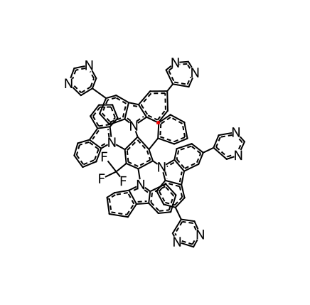 FC(F)(F)c1c(-n2c3ccccc3c3ccccc32)c(-n2c3ccc(-c4cncnc4)cc3c3cc(-c4cncnc4)ccc32)c(-c2ccccc2)c(-n2c3ccc(-c4cncnc4)cc3c3cc(-c4cncnc4)ccc32)c1-n1c2ccccc2c2ccccc21